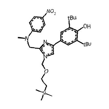 CN(Cc1nc(-c2cc(C(C)(C)C)c(O)c(C(C)(C)C)c2)cn1COCC[Si](C)(C)C)c1ccc([N+](=O)[O-])cc1